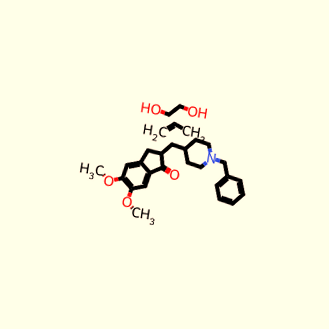 C=CC.COc1cc2c(cc1OC)C(=O)C(CC1CCN(Cc3ccccc3)CC1)C2.OCCO